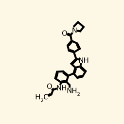 C=CC(=O)Nc1cccc(-c2cccc3[nH]c(-c4ccc(C(=O)N5CCCC5)cc4)cc23)c1CN